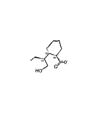 CC[C@H](CO)[C@@H]1CCCC[C@H]1[N+](=O)[O-]